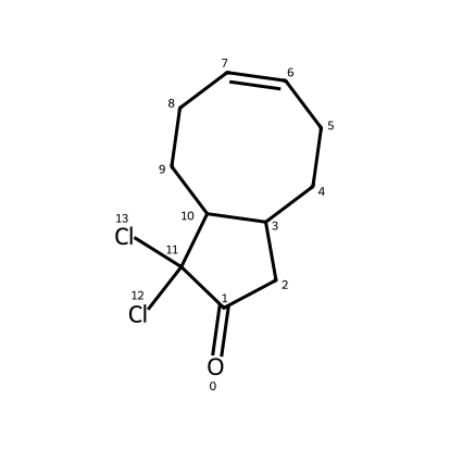 O=C1CC2CC/C=C\CCC2C1(Cl)Cl